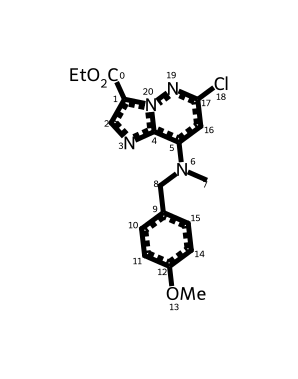 CCOC(=O)c1cnc2c(N(C)Cc3ccc(OC)cc3)cc(Cl)nn12